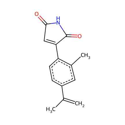 C=C(C)c1ccc(C2=CC(=O)NC2=O)c(C)c1